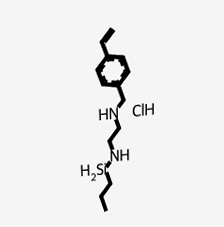 C=Cc1ccc(CNCCN[SiH2]CCC)cc1.Cl